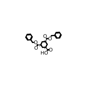 O=C(O)[C@H]1C[C@@H](C(=O)OCc2ccccc2)C[C@@H](C(=O)OCc2ccccc2)C1